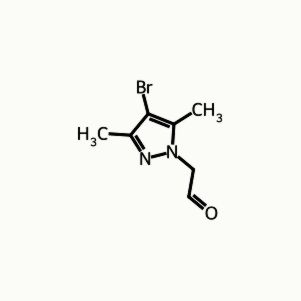 Cc1nn(CC=O)c(C)c1Br